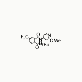 COc1cc(NC(=O)c2cc(C(F)(F)F)ccc2C(=O)OC(C)(C)C)ccn1